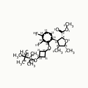 COC(=O)[C@@H]1O[C@H](C)[C@@H](C)[C@H]1c1ccc(F)c(F)c1OC1CC(O[Si](C)(C)C(C)(C)C)C1